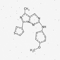 COc1ccc(Nc2ncc3c(C)nc(-c4ccsc4)n3n2)cc1